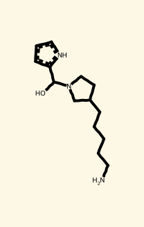 NCCCCCC1CCN(C(O)c2ccc[nH]2)C1